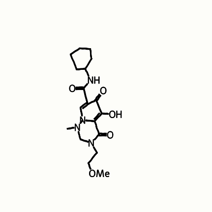 COCCN1CN(C)n2cc(C(=O)NC3CCCCC3)c(=O)c(O)c2C1=O